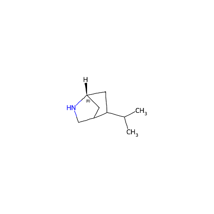 CC(C)C1C[C@@H]2CC1CN2